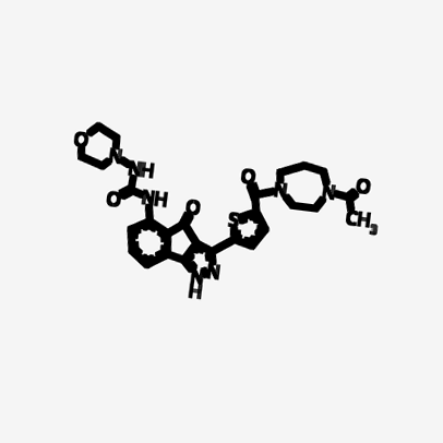 CC(=O)N1CCCN(C(=O)c2ccc(-c3n[nH]c4c3C(=O)c3c(NC(=O)NN5CCOCC5)cccc3-4)s2)CC1